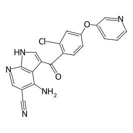 N#Cc1cnc2[nH]cc(C(=O)c3ccc(Oc4cccnc4)cc3Cl)c2c1N